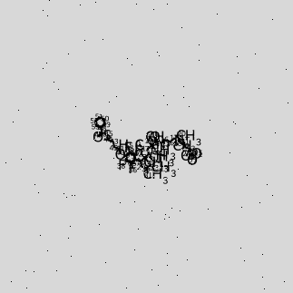 CCCC(C)(C(C)CC(C)(CC)C(=O)NCCC[N+](C)(C)CCCS(=O)(=O)[O-])C(CC(C)CC)c1c(F)c(F)c(OCCCCSC(=O)c2ccccc2)c(F)c1F